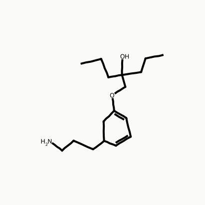 CCCC(O)(CCC)COC1=CC=CC(CCCN)C1